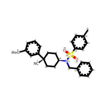 COc1cccc([C@]2(C#N)CC[C@@H](N(Cc3ccccc3)S(=O)(=O)c3ccc(C)cc3)CC2)c1